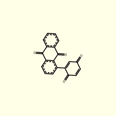 O=C1C=CC(=O)C(c2cccc3c2C(=O)c2ccccc2C3=O)=C1